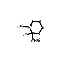 Br.CCCN1CCCCC1(F)F